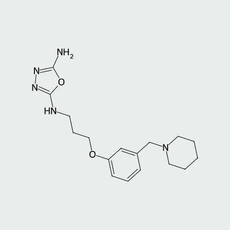 Nc1nnc(NCCCOc2cccc(CN3CCCCC3)c2)o1